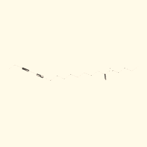 CCC#CC#CCCCCCCCCC(=O)NCCCC